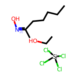 CCCCC/C(C)=N\O.CCO.Cl[Si](Cl)(Cl)Cl